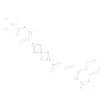 O=C(CCCc1n[nH]c(=O)c2ccccc12)N1CC2(C1)CN(c1ncc(C(F)(F)F)cn1)C2